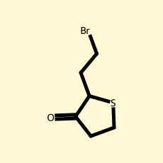 O=C1CCSC1CCBr